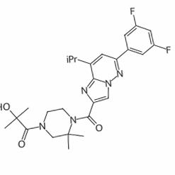 CC(C)c1cc(-c2cc(F)cc(F)c2)nn2cc(C(=O)N3CCN(C(=O)C(C)(C)O)CC3(C)C)nc12